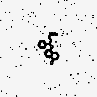 CNCCC(Oc1cccc2c1CCCC2=O)c1ccccc1